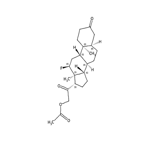 CC(=O)OCC(=O)[C@H]1CC[C@H]2[C@@H]3CC[C@@H]4CC(=O)CC[C@]4(C)[C@H]3C[C@H](F)[C@]12C